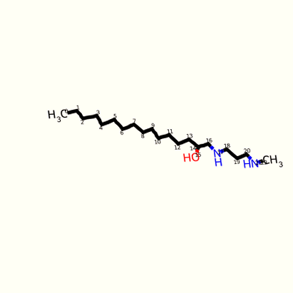 CCCCCCCCCCCCCCC(O)CNCCCNC